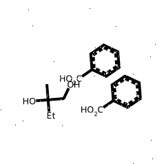 CCC(C)(O)CO.O=C(O)c1ccccc1.O=C(O)c1ccccc1